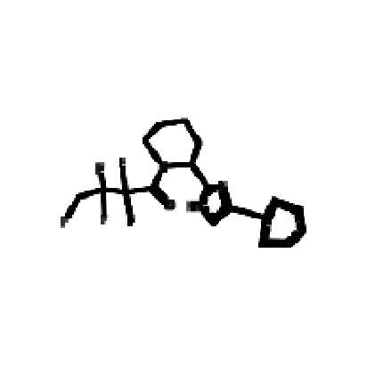 O=C(N1CCCCC1c1nc(-c2ccccc2)c[nH]1)C(F)(F)C(F)(F)CF